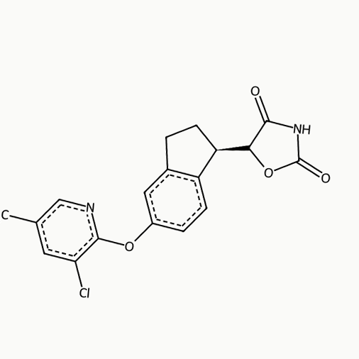 O=C1NC(=O)C([C@@H]2CCc3cc(Oc4ncc(C(F)(F)F)cc4Cl)ccc32)O1